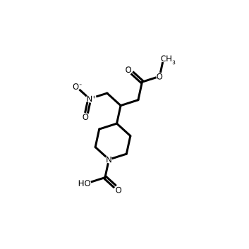 COC(=O)CC(C[N+](=O)[O-])C1CCN(C(=O)O)CC1